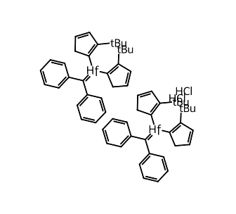 CC(C)(C)C1=[C]([Hf]([C]2=C(C(C)(C)C)C=CC2)=[C](c2ccccc2)c2ccccc2)CC=C1.CC(C)(C)C1=[C]([Hf]([C]2=C(C(C)(C)C)C=CC2)=[C](c2ccccc2)c2ccccc2)CC=C1.Cl.Cl